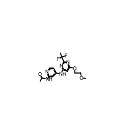 COCCOc1cc(Nc2ccnc(NC(C)=O)c2)nc(C(C)(F)F)n1